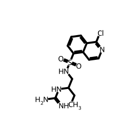 CCC(CNS(=O)(=O)c1cccc2c(Cl)nccc12)NC(=N)N